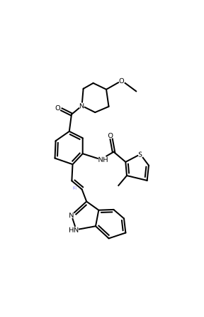 COC1CCN(C(=O)c2ccc(/C=C/c3n[nH]c4ccccc34)c(NC(=O)c3sccc3C)c2)CC1